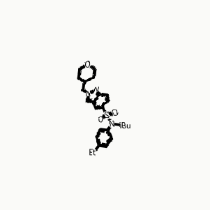 CCc1ccc(N(C(C)CC)S(=O)(=O)c2ccc3nn(CC4CCOCC4)cc3c2)cc1